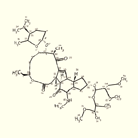 CC[C@H]1CCC[C@H](O[C@H]2CC[C@H](N(C)C)C(C)O2)[C@@H](C)C(=O)C2=CC3[C@@H]4C[C@H](OC(OC(C)[C@@H](C)OC)[C@H](COC)OC)CC4C(NC)C(=O)[C@H]3[C@@H]2CC(=O)O1